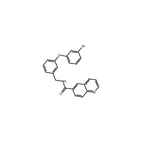 CC(=O)c1cccc(Oc2cccc(CNC(=O)c3ccc4ncccc4c3)c2)c1